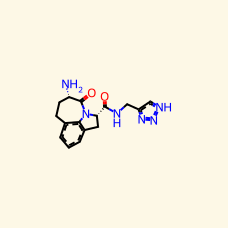 N[C@H]1CCc2cccc3c2N(C1=O)[C@H](C(=O)NCc1c[nH]nn1)C3